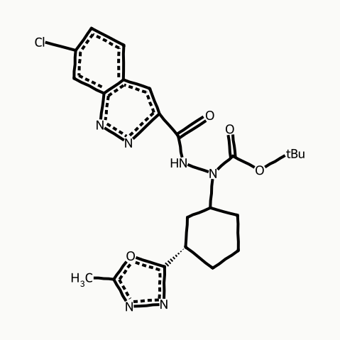 Cc1nnc([C@H]2CCCC(N(NC(=O)c3cc4ccc(Cl)cc4nn3)C(=O)OC(C)(C)C)C2)o1